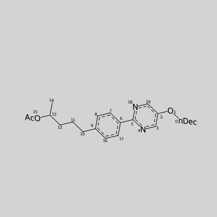 CCCCCCCCCCOc1cnc(-c2ccc(CCCC(C)OC(C)=O)cc2)nc1